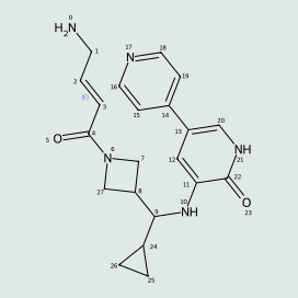 NC/C=C/C(=O)N1CC(C(Nc2cc(-c3ccncc3)c[nH]c2=O)C2CC2)C1